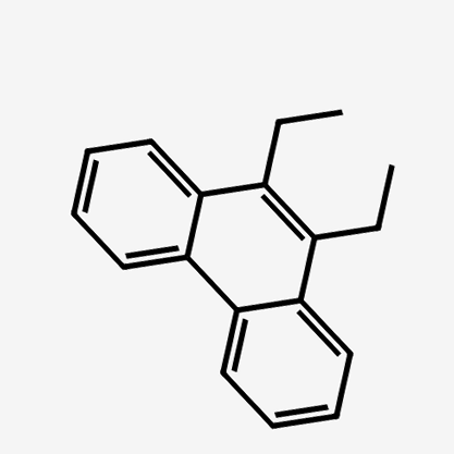 CCc1c(CC)c2ccccc2c2ccccc12